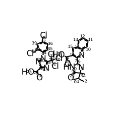 CC(C)C1(C)N=C(c2nc3ccccc3cc2C(=O)O)NC1=O.O=C(O)c1nc(C(Cl)(Cl)Cl)n(-c2ccc(Cl)cc2Cl)n1